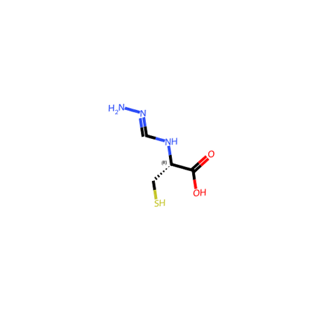 NN=CN[C@@H](CS)C(=O)O